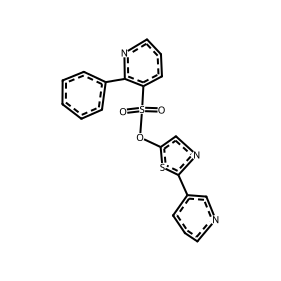 O=S(=O)(Oc1cnc(-c2cccnc2)s1)c1cccnc1-c1ccccc1